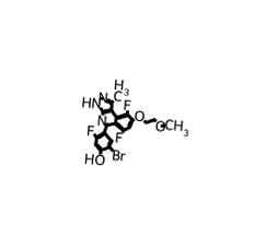 COCCOc1cc(F)c2c(-c3cc(Br)c(O)cc3F)nc3[nH]nc(C)c3c2c1F